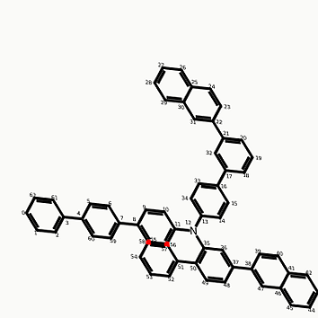 c1ccc(-c2ccc(-c3ccc(N(c4ccc(-c5cccc(-c6ccc7ccccc7c6)c5)cc4)c4cc(-c5ccc6ccccc6c5)ccc4-c4ccccc4)cc3)cc2)cc1